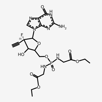 C#C[C@]1(F)C(O)C(COP(=O)(NCC(=O)OCC)NCC(=O)OCC)OC1n1cnc2c(=O)[nH]c(N)nc21